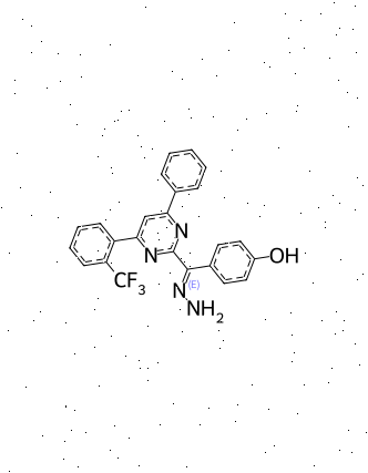 N/N=C(\c1ccc(O)cc1)c1nc(-c2ccccc2)cc(-c2ccccc2C(F)(F)F)n1